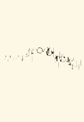 CNCC1C2CN(Cc3ccc(-n4ccc(NC(=O)N5CCN(C(=O)C(C)(C)N)CC5)nc4=O)cc3)C[C@@H]12